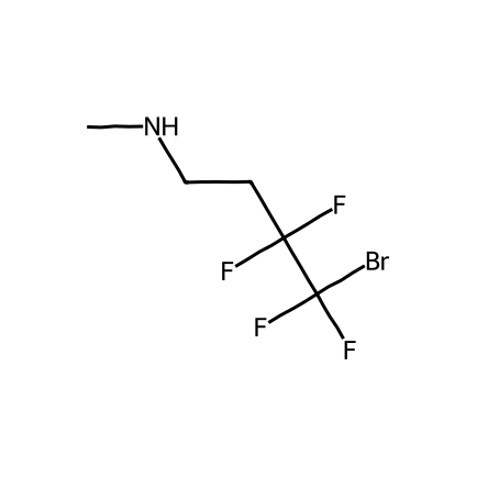 CNCCC(F)(F)C(F)(F)Br